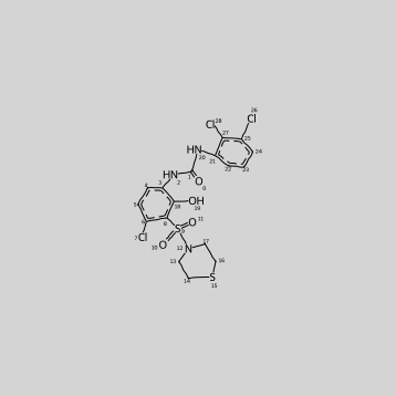 O=C(Nc1ccc(Cl)c(S(=O)(=O)N2CCSCC2)c1O)Nc1cccc(Cl)c1Cl